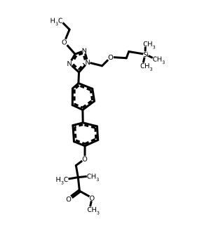 CCOc1nc(-c2ccc(-c3ccc(OCC(C)(C)C(=O)OC)cc3)cc2)n(COCC[Si](C)(C)C)n1